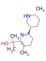 CC1=C(C(C)(C)O)N=C([C@@H]2CC[C@@H](C)NC2)CC1